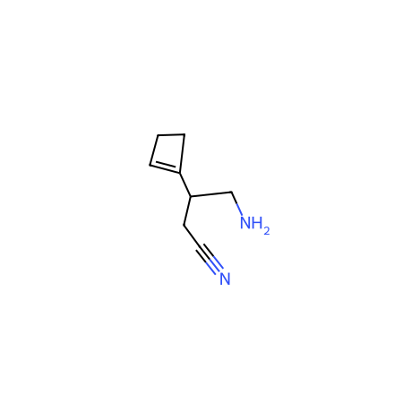 N#CCC(CN)C1=CCC1